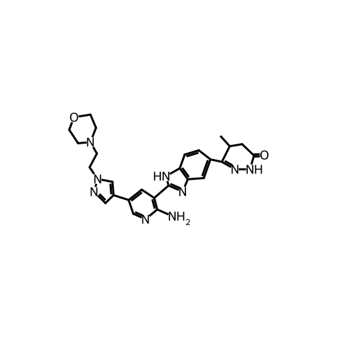 CC1CC(=O)NN=C1c1ccc2[nH]c(-c3cc(-c4cnn(CCN5CCOCC5)c4)cnc3N)nc2c1